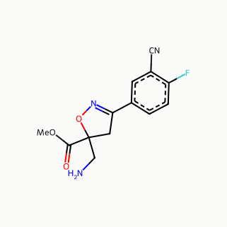 COC(=O)C1(CN)CC(c2ccc(F)c(C#N)c2)=NO1